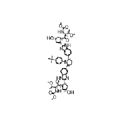 COC(=O)N[C@H](C(=O)N1C[C@@H](O)C[C@H]1c1nc2cc([C@H]3CC[C@H](c4ccc5[nH]c([C@@H]6C[C@H](O)CN6C(=O)[C@@H](NC(=O)OC)[C@@H](C)OC)nc5c4)N3c3ccc(C(C)(C)C)cc3)ccc2[nH]1)[C@@H](C)OC